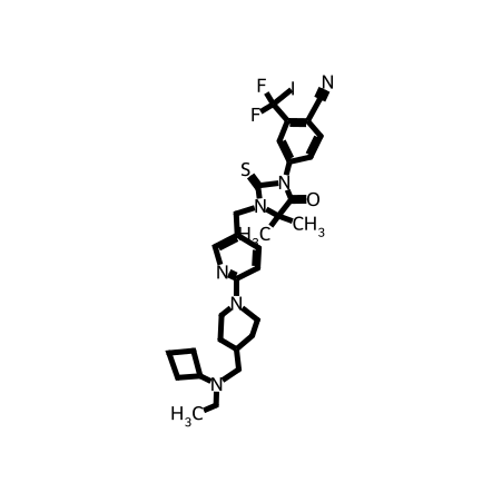 CCN(CC1CCN(c2ccc(CN3C(=S)N(c4ccc(C#N)c(C(F)(F)I)c4)C(=O)C3(C)C)cn2)CC1)C1CCC1